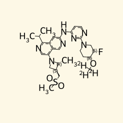 [2H]C([2H])([2H])O[C@@H]1CCN(c2nccc(Nc3cc4c(C(C)C)ncc(N5C[C@H](CS(C)(=O)=O)[C@H]5C)c4cn3)n2)C[C@@H]1F